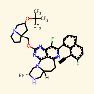 C#Cc1c(F)ccc2cccc(-c3nc4c5c(nc(OC[C@@]67CCCN6C[C@@H](OC(C(F)(F)F)(C(F)(F)F)C(F)(F)F)C7)nc5c3F)N3C[C@@H](CC)NC[C@H]3CC4)c12